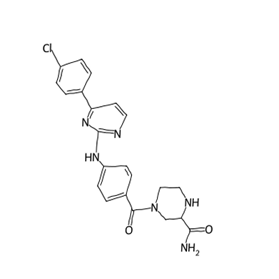 NC(=O)C1CN(C(=O)c2ccc(Nc3nccc(-c4ccc(Cl)cc4)n3)cc2)CCN1